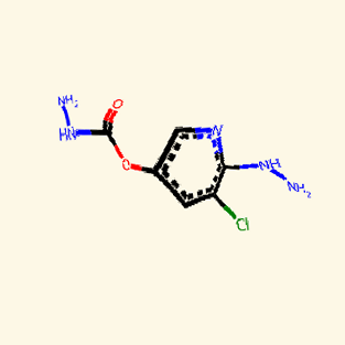 NNC(=O)Oc1cnc(NN)c(Cl)c1